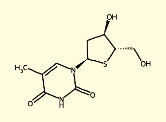 Cc1cn([C@H]2C[C@@H](O)[C@H](CO)S2)c(=O)[nH]c1=O